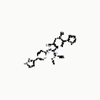 C=N/C(N)=c1/nc(CN(CC)C(=O)c2nccs2)[nH]/c1=C1\C=CC(c2cc[nH]n2)=CC1